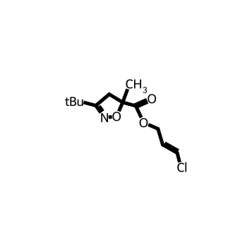 CC(C)(C)C1=NOC(C)(C(=O)OC/C=C/Cl)C1